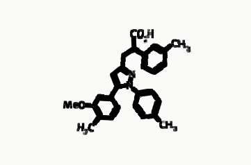 COc1cc(-c2cc(CC(C(=O)O)c3cccc(C)c3)nn2-c2ccc(C)cc2)ccc1C